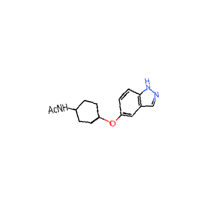 CC(=O)NC1CCC(Oc2ccc3[nH]ncc3c2)CC1